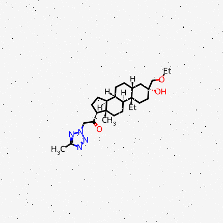 CCOC[C@@]1(O)CC[C@@]2(CC)[C@H](CC[C@H]3[C@@H]4CC[C@H](C(=O)Cn5nnc(C)n5)[C@@]4(C)CC[C@@H]32)C1